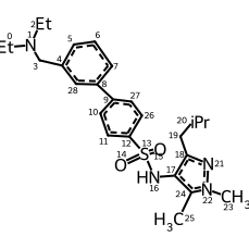 CCN(CC)Cc1cccc(-c2ccc(S(=O)(=O)Nc3c(CC(C)C)nn(C)c3C)cc2)c1